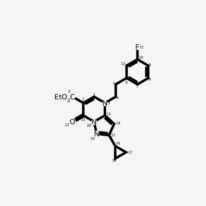 CCOC(=O)c1cn(CCc2cccc(F)c2)c2cc(C3CC3)nn2c1=O